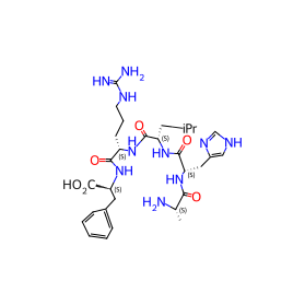 CC(C)C[C@H](NC(=O)[C@H](Cc1c[nH]cn1)NC(=O)[C@H](C)N)C(=O)N[C@@H](CCCNC(=N)N)C(=O)N[C@@H](Cc1ccccc1)C(=O)O